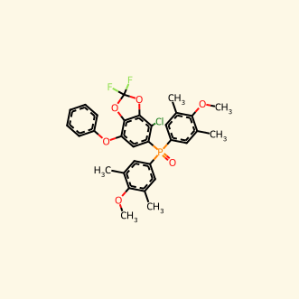 COc1c(C)cc(P(=O)(c2cc(C)c(OC)c(C)c2)c2cc(Oc3ccccc3)c3c(c2Cl)OC(F)(F)O3)cc1C